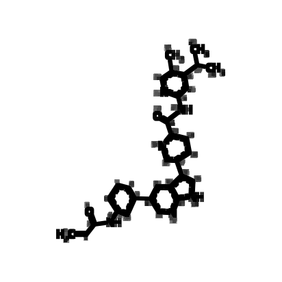 C=CC(=O)Nc1cccc(-c2cnc3[nH]cc(-c4ccc(C(=O)Nc5cc(C(C)C)c(C)cn5)nc4)c3c2)c1